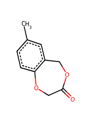 Cc1ccc2c(c1)COC(=O)CO2